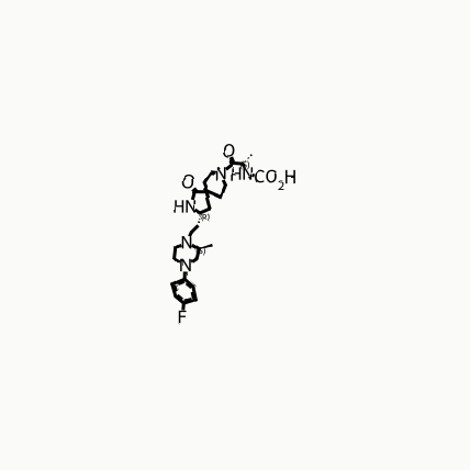 C[C@H](NC(=O)O)C(=O)N1CCC2(CC1)C[C@H](CCN1CCN(c3ccc(F)cc3)C[C@@H]1C)NC2=O